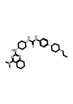 CCC[C@H]1CC[C@H](c2ccc(NC(=S)N[C@H]3CC[C@@H](Nc4nc5c(c(N(C)C)n4)CCCC5)CC3)cc2)CC1